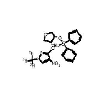 [2H]C([2H])([2H])n1cc([N+](=O)[O-])c(O[C@@H]2COC[C@@H]2O[Si](c2ccccc2)(c2ccccc2)C(C)(C)C)n1